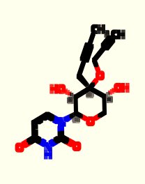 C#CCO[C@]1(CC#CC)[C@H](O)CO[C@@H](n2ccc(=O)[nH]c2=O)[C@@H]1O